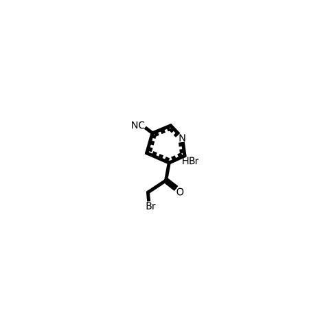 Br.N#Cc1cncc(C(=O)CBr)c1